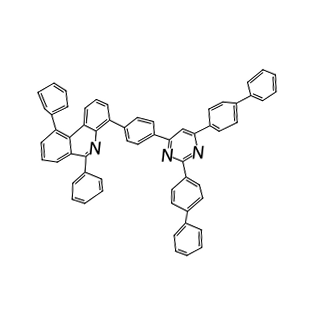 c1ccc(-c2ccc(-c3cc(-c4ccc(-c5cccc6c5nc(-c5ccccc5)c5cccc(-c7ccccc7)c56)cc4)nc(-c4ccc(-c5ccccc5)cc4)n3)cc2)cc1